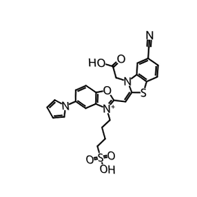 N#Cc1ccc2c(c1)N(CC(=O)O)C(=Cc1oc3ccc(-n4cccc4)cc3[n+]1CCCCS(=O)(=O)O)S2